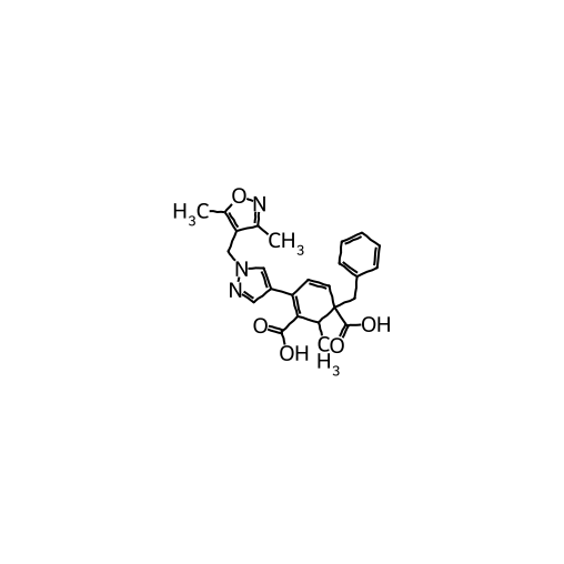 Cc1noc(C)c1Cn1cc(C2=C(C(=O)O)C(C)C(Cc3ccccc3)(C(=O)O)C=C2)cn1